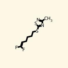 Cc1nsc(SCCCCC=C(F)F)n1